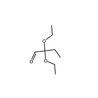 CCOC(C=O)(CC)OCC